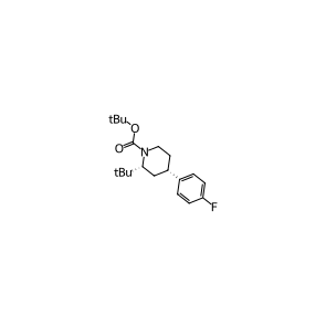 CC(C)(C)OC(=O)N1CC[C@H](c2ccc(F)cc2)C[C@@H]1C(C)(C)C